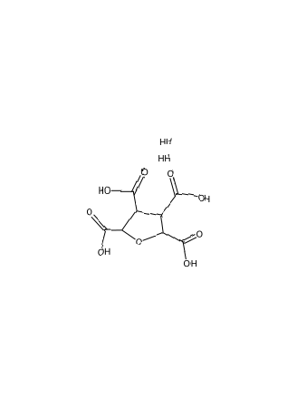 O=C(O)C1OC(C(=O)O)C(C(=O)O)C1C(=O)O.[HH].[HH]